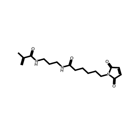 C=C(C)C(=O)NCCCNC(=O)CCCCCN1C(=O)C=CC1=O